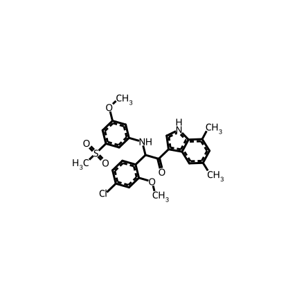 COc1cc(NC(C(=O)c2c[nH]c3c(C)cc(C)cc23)c2ccc(Cl)cc2OC)cc(S(C)(=O)=O)c1